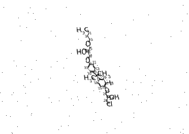 CCCCOC[C@@H](O)COc1ccc(C(C)(C)c2ccc(OC[C@H](O)CCl)c(I)c2)cc1